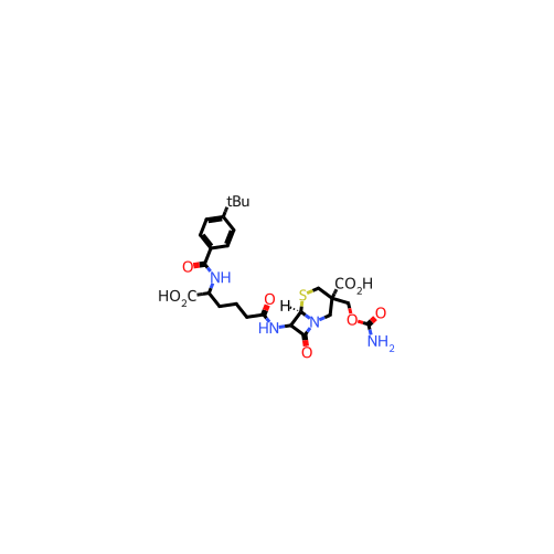 CC(C)(C)c1ccc(C(=O)NC(CCCC(=O)NC2C(=O)N3CC(COC(N)=O)(C(=O)O)CS[C@H]23)C(=O)O)cc1